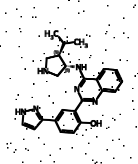 CC(C)[C@@H]1CNC[C@H]1Nc1nc(-c2cc(-c3cc[nH]n3)ccc2O)nc2ccccc12